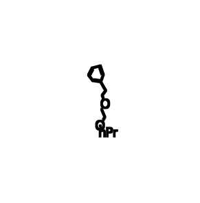 CCCOCCOCCc1ccccc1